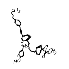 CCCCc1ccc(C#Cc2ccc(CN(Cc3ccc(OC(C)=O)cc3)C(=O)c3ccc(O)nc3)cc2)cc1